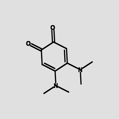 CN(C)C1=CC(=O)C(=O)C=C1N(C)C